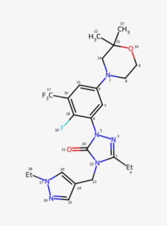 CCc1nn(-c2cc(N3CCOC(C)(C)C3)cc(C(F)(F)F)c2F)c(=O)n1Cc1cnn(CC)c1